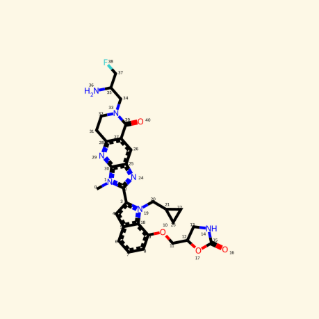 Cn1c(-c2cc3cccc(OCC4CNC(=O)O4)c3n2CC2CC2)nc2cc3c(nc21)CCN(CC(N)CF)C3=O